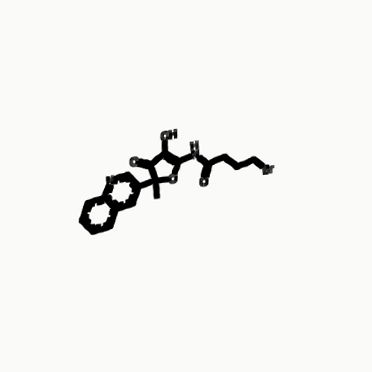 CC1(c2cnc3ccccc3c2)OC(NC(=O)CCCBr)=C(O)C1=O